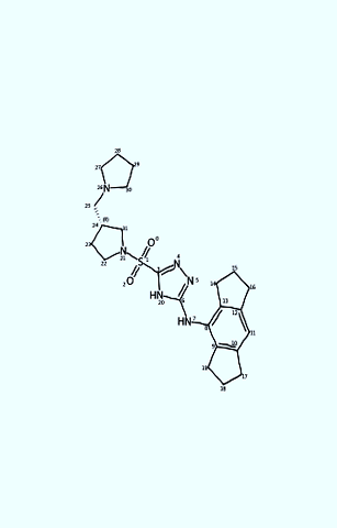 O=S(=O)(c1nnc(Nc2c3c(cc4c2CCC4)CCC3)[nH]1)N1CC[C@H](CN2CCCC2)C1